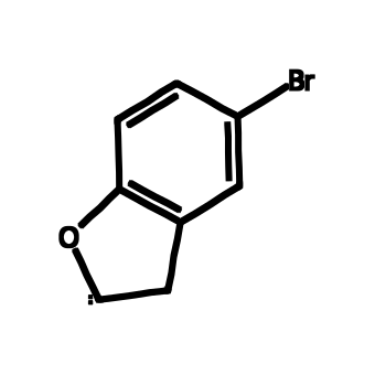 Brc1ccc2c(c1)C[C]O2